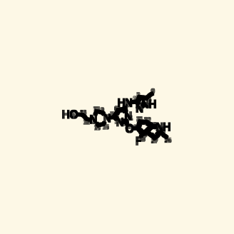 Cc1cc(Nc2cc(N3CCN(CCO)CC3)nc(Oc3ccc4[nH]c(C)cc4c3F)n2)n[nH]1